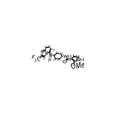 COc1[nH]ncc1C(=O)N[C@H]1CC[C@@H](Nc2cccc3nc(C(F)(F)F)cn23)CC1